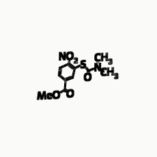 COC(=O)c1ccc([N+](=O)[O-])c(SC(=O)N(C)C)c1